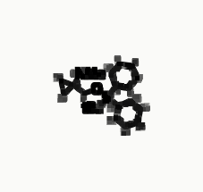 CNC1(CO[Si](c2ccccc2)(c2ccccc2)C(C)(C)C)CC1